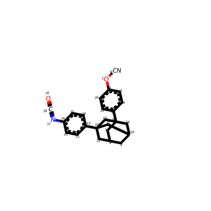 N#COc1ccc(C23CC4CC(CC(c5ccc(N=C=O)cc5)(C4)C2)C3)cc1